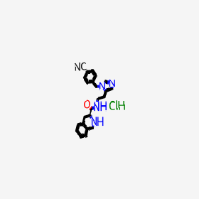 Cl.N#Cc1ccc(Cn2cncc2CCNC(=O)[C@@H]2Cc3ccccc3CN2)cc1